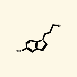 O=Cc1ccc2c(ccn2CCCBr)c1